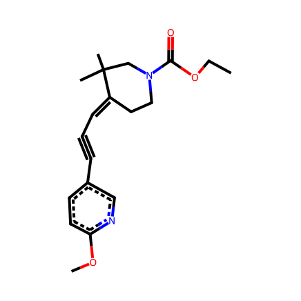 CCOC(=O)N1CC/C(=C\C#Cc2ccc(OC)nc2)C(C)(C)C1